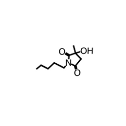 CCCCCN1C(=O)CC(C)(O)C1=O